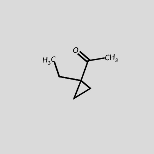 CCC1(C(C)=O)CC1